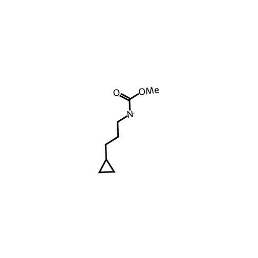 COC(=O)[N]CCCC1CC1